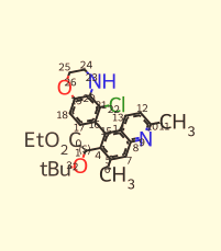 CCOC(=O)[C@@H](OC(C)(C)C)c1c(C)cc2nc(C)ccc2c1-c1ccc2c(c1Cl)NCCO2